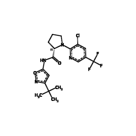 CC(C)(C)c1cc(NC(=O)[C@@H]2CCCN2c2ncc(C(F)(F)F)cc2Cl)on1